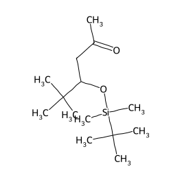 CC(=O)CC(O[Si](C)(C)C(C)(C)C)C(C)(C)C